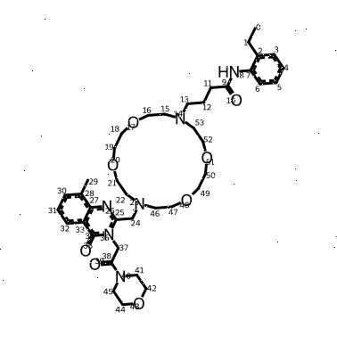 CCc1ccccc1NC(=O)CCCN1CCOCCOCCN(Cc2nc3c(C)cccc3c(=O)n2CC(=O)N2CCOCC2)CCOCCOCC1